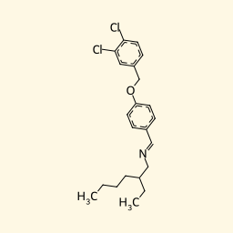 CCCCC(CC)CN=Cc1ccc(OCc2ccc(Cl)c(Cl)c2)cc1